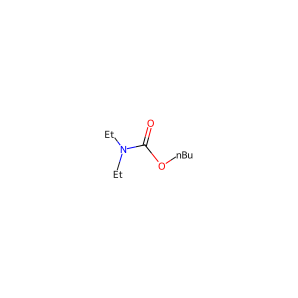 CCCCOC(=O)N(CC)CC